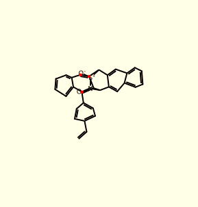 C=Cc1ccc(C(=O)N2C3c4cc5ccccc5cc4C(c4cc5ccccc5cc43)[S+]2[O-])cc1